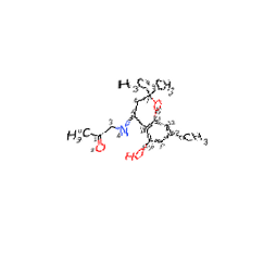 CC(=O)CN=C1CC(C)(C)Oc2cc(C)cc(O)c21